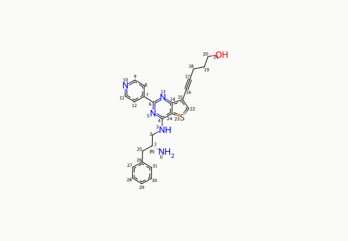 N[C@@H](CNc1nc(-c2ccncc2)nc2c(C#CCCCO)csc12)Cc1ccccc1